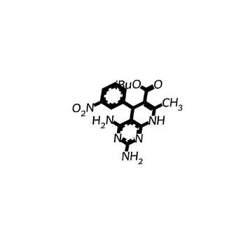 CC1=C(C(=O)OCC(C)C)C(c2cccc([N+](=O)[O-])c2)c2c(N)nc(N)nc2N1